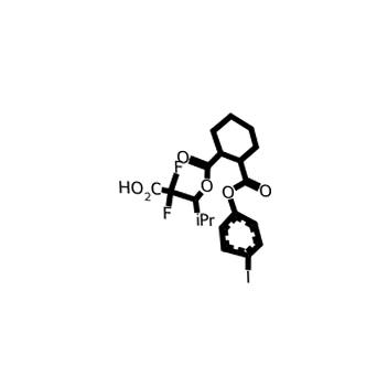 CC(C)C(OC(=O)C1CCCCC1C(=O)Oc1ccc(I)cc1)C(F)(F)C(=O)O